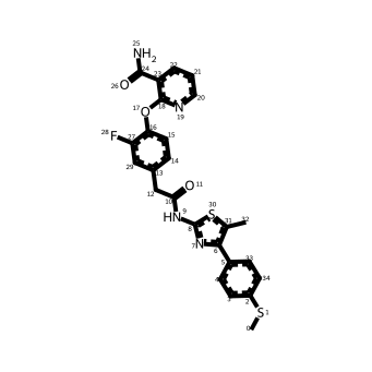 CSc1ccc(-c2nc(NC(=O)Cc3ccc(Oc4ncccc4C(N)=O)c(F)c3)sc2C)cc1